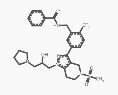 CS(=O)(=O)N1CCc2c(c(-c3ccc(C(F)(F)F)c(CNC(=O)c4ccccc4)c3)nn2CC(O)CN2CCCC2)C1